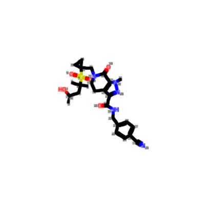 C[C@@H](O)CC(C)(C)S(=O)(=O)C1(CN2CCc3c(C(=O)NCc4ccc(C#N)cc4)nn(C)c3C2=O)CC1